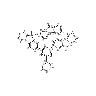 CC1(C)c2ccccc2-c2ccc(-c3nc(-c4ccccc4)nc(-c4cc(-c5cccc6sc7ccccc7c56)c5c(c4)oc4ccccc45)n3)cc21